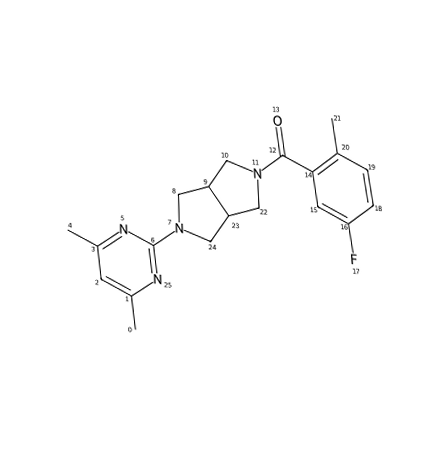 Cc1cc(C)nc(N2CC3CN(C(=O)c4cc(F)ccc4C)CC3C2)n1